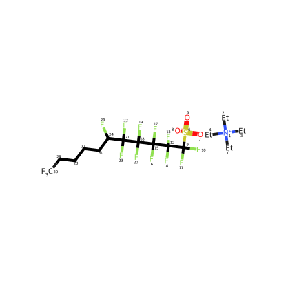 CC[N+](CC)(CC)CC.O=S(=O)([O-])C(F)(F)C(F)(F)C(F)(F)C(F)(F)C(F)(F)C(F)CCCCC(F)(F)F